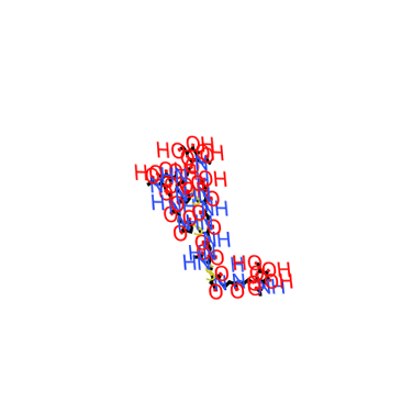 CC(=O)NC1C(OCCNC(=O)CCN2C(=O)CC(SC[C@H](NC(C)=O)C(=O)NCC(=O)N[C@@H](CSC3CC(=O)N(CCC(=O)NCCOC4OC(CO)C(O)C(O)C4NC(C)=O)C3=O)C(=O)NCC(=O)N[C@@H](CSC3CC(=O)N(CCC(=O)NCCOC4OC(CO)C(O)C(O)C4NC(C)=O)C3O)C(=O)NCC(=O)O)C2=O)OC(CO)C(O)C1O